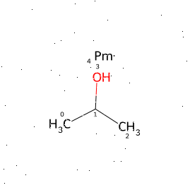 CC(C)O.[Pm]